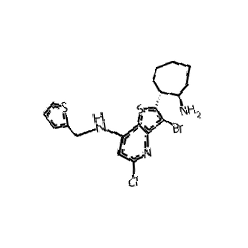 N[C@@H]1CCCCC[C@H]1c1sc2c(NCc3cccs3)cc(Cl)nc2c1Br